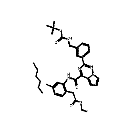 CCCCCC.CCOC(=O)Cc1ccc(C)cc1NC(=O)c1nc(-c2cccc(CNC(=O)OC(C)(C)C)c2)nn2cccc12